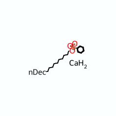 CCCCCCCCCCCCCCCCCCCCOS(=O)(=O)c1ccccc1.[CaH2]